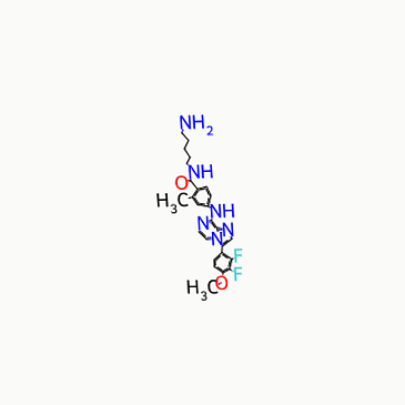 COc1ccc(-c2cnc3c(Nc4ccc(C(=O)NCCCCCN)c(C)c4)nccn23)c(F)c1F